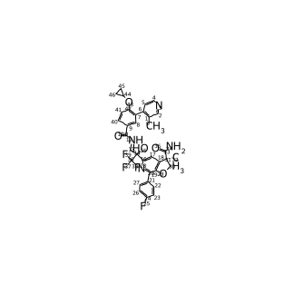 Cc1cnccc1-c1cc(C(=O)NCC(O)(c2cc3c(c(-c4ccc(F)cc4)n2)OC[C@]3(C)C(N)=O)C(F)(F)F)ccc1OC1CC1